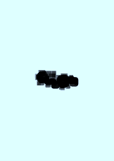 O=Cc1ccc(OCCC2CCCN2)cc1